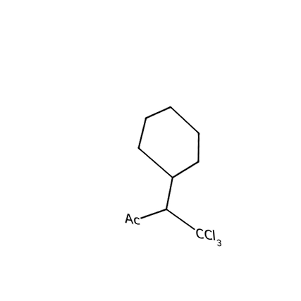 CC(=O)C(C1CCCCC1)C(Cl)(Cl)Cl